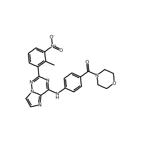 Cc1c(-c2nc(Nc3ccc(C(=O)N4CCOCC4)cc3)c3nccn3n2)cccc1[N+](=O)[O-]